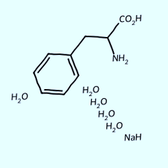 NC(Cc1ccccc1)C(=O)O.O.O.O.O.O.[NaH]